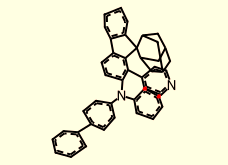 c1ccc(-c2ccc(N(c3ccccc3)c3ccc4c(c3-c3ccncc3)C3(c5ccccc5-4)C4CC5CC(C4)CC3C5)cc2)cc1